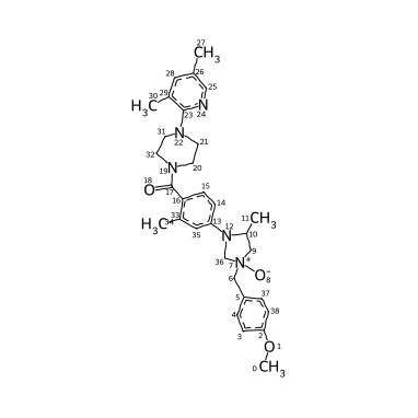 COc1ccc(C[N+]2([O-])CC(C)N(c3ccc(C(=O)N4CCN(c5ncc(C)cc5C)CC4)c(C)c3)C2)cc1